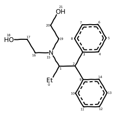 CCC(C(c1ccccc1)c1ccccc1)N(CCO)CCO